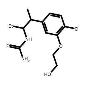 CCC(NC(N)=O)C(C)c1ccc(Cl)c(OCCO)c1